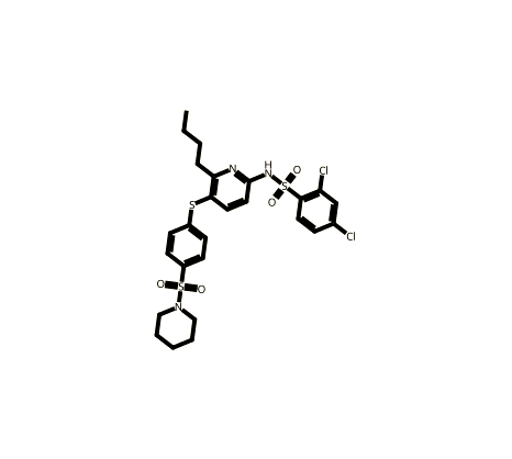 CCCCc1nc(NS(=O)(=O)c2ccc(Cl)cc2Cl)ccc1Sc1ccc(S(=O)(=O)N2CCCCC2)cc1